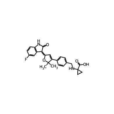 CC1(C)O/C(=C2/C(=O)Nc3ccc(F)cc32)C=C1c1ccc(CNC2(C(=O)O)CC2)cc1